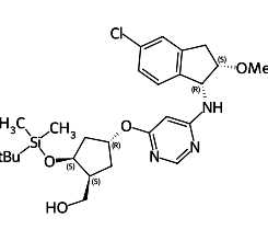 CO[C@H]1Cc2cc(Cl)ccc2[C@H]1Nc1cc(O[C@@H]2C[C@@H](CO)[C@@H](O[Si](C)(C)C(C)(C)C)C2)ncn1